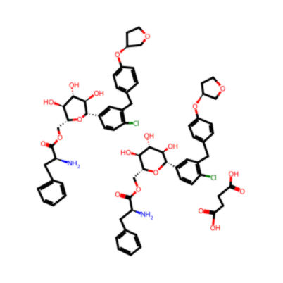 N[C@@H](Cc1ccccc1)C(=O)OC[C@H]1O[C@@H](c2ccc(Cl)c(Cc3ccc(O[C@H]4CCOC4)cc3)c2)[C@H](O)[C@@H](O)[C@@H]1O.N[C@@H](Cc1ccccc1)C(=O)OC[C@H]1O[C@@H](c2ccc(Cl)c(Cc3ccc(O[C@H]4CCOC4)cc3)c2)[C@H](O)[C@@H](O)[C@@H]1O.O=C(O)CCC(=O)O